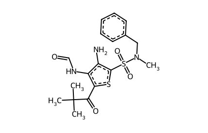 CN(Cc1ccccc1)S(=O)(=O)c1sc(C(=O)C(C)(C)C)c(NC=O)c1N